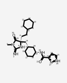 CN1C(=N)N[C@](CCC2CCCCC2)(C[C@H]2CCC[C@@H](NC(=O)c3cc[nH]n3)C2)C1=O